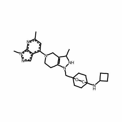 Cc1cc(N2CCC3=C(C2)C(C)NN3CC23CCC(NC4CCC4)(CC2)CO3)c2cnn(C)c2n1